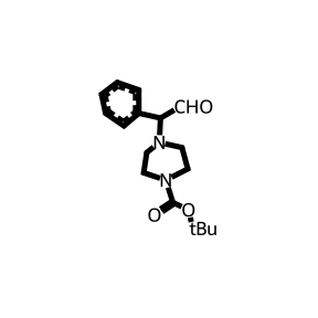 CC(C)(C)OC(=O)N1CCN(C(C=O)c2ccccc2)CC1